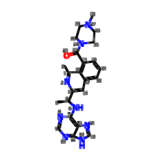 Cc1nc([C@H](C)Nc2ncnc3[nH]cnc23)cc2cccc(C(=O)N3CCN(C)CC3)c12